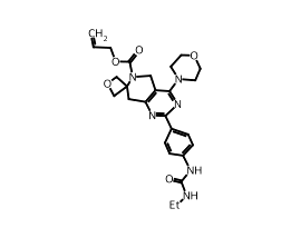 C=CCOC(=O)N1Cc2c(nc(-c3ccc(NC(=O)NCC)cc3)nc2N2CCOCC2)CC12COC2